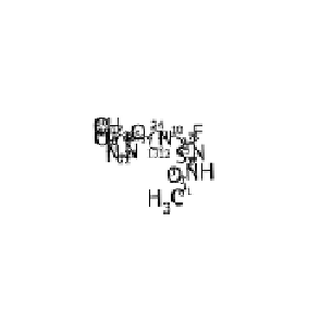 CCC(=O)Nc1nc(F)c(CN2CC[C@@H](Oc3cc(OC)ncn3)C2)s1